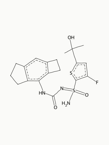 CC(C)(O)c1cc(F)c(S(N)(=O)=NC(=O)Nc2c3c(cc4c2CC4)CCC3)s1